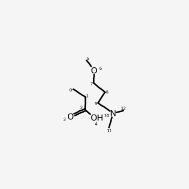 CCC(=O)O.COCCCN(C)C